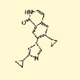 O=c1[nH]ccc2cc(C3CC3)c(-n3cnc(C4CC4)c3)cc12